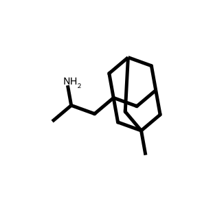 CC(N)CC12CC3CC(CC(C)(C3)C1)C2